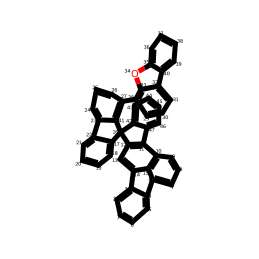 c1ccc2c(c1)-c1cccc3c4c(cc-2c13)C1(c2ccccc2-c2cccc(-c3cccc5c3oc3ccccc35)c21)c1ccccc1-4